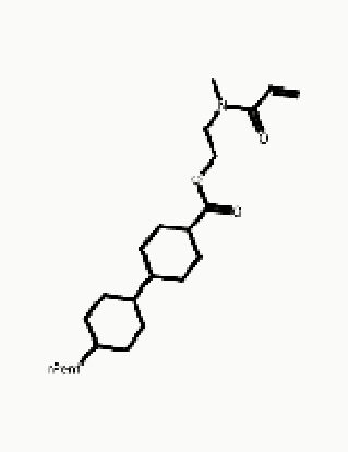 C=CC(=O)N(C)CCOC(=O)C1CCC(C2CCC(CCCCC)CC2)CC1